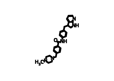 CN1CCN(Cc2ccc(C(=O)Nc3ccc(CC4CNc5ncccc54)cc3)cc2)CC1